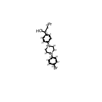 CC(C)CC(O)c1ccc(N2CCN(c3ccc(Br)cc3)CC2)cc1